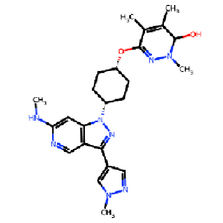 CNc1cc2c(cn1)c(-c1cnn(C)c1)nn2[C@H]1CC[C@@H](OC2=NN(C)C(O)C(C)=C2C)CC1